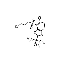 CC(C)(C)c1nc2ccc(Cl)c(S(=O)(=O)CCCCl)c2o1